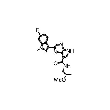 CO[C@@H](C)CNC(=O)c1c[nH]c2ncc(-c3nn(C)c4cc(F)ccc34)nc12